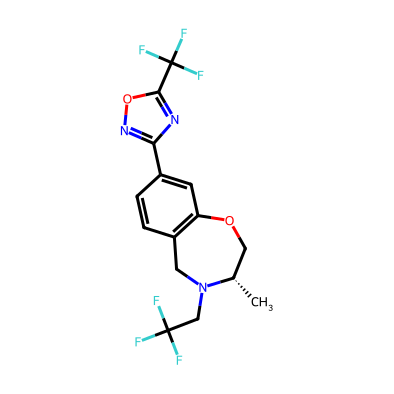 C[C@H]1COc2cc(-c3noc(C(F)(F)F)n3)ccc2CN1CC(F)(F)F